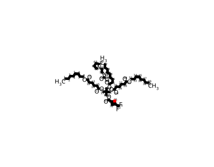 CCCCC/C=C\CCOC(=O)CCCCC(=O)OCC(COC(=O)CCCCC(=O)OCC/C=C\CCCCC)(COC(=O)CCC(CCCCCC)OC(=O)NCCN1CCCC1)COC(=O)C12CC(C(F)F)(C1)C2